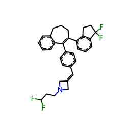 FC(F)CCN1CC(=Cc2ccc(C3=C(c4cccc5c4CCC5(F)F)CCCc4ccccc43)cc2)C1